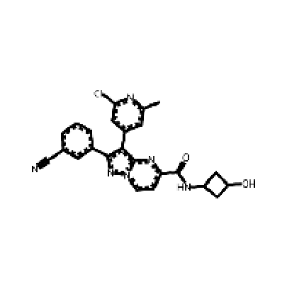 Cc1cc(-c2c(-c3cccc(C#N)c3)nn3ccc(C(=O)NC4CC(O)C4)nc23)cc(Cl)n1